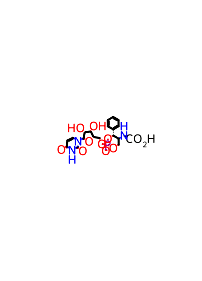 O=C(O)N[C@H]1COP(=O)(OCC2OC(n3ccc(=O)[nH]c3=O)C(O)C2O)O[C@@H]1c1ccccc1